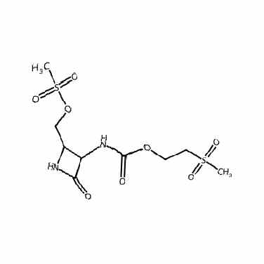 CS(=O)(=O)CCOC(=O)NC1C(=O)NC1COS(C)(=O)=O